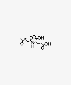 CC(=O)SCC(=O)NC(CCC(=O)O)C(=O)O